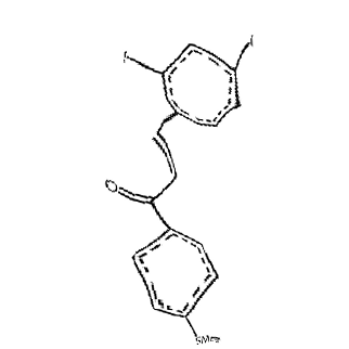 CSc1ccc(C(=O)/C=C/c2ccc(I)cc2I)cc1